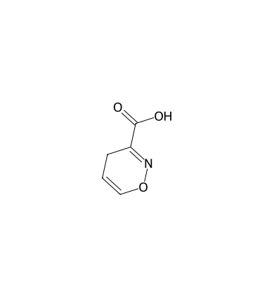 O=C(O)C1=NOC=CC1